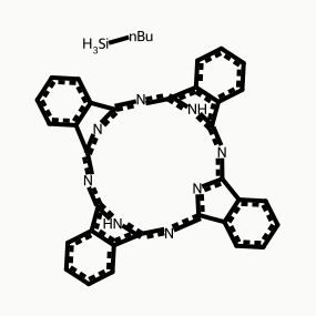 CCCC[SiH3].c1ccc2c(c1)-c1nc-2nc2[nH]c(nc3nc(nc4[nH]c(n1)c1ccccc41)-c1ccccc1-3)c1ccccc21